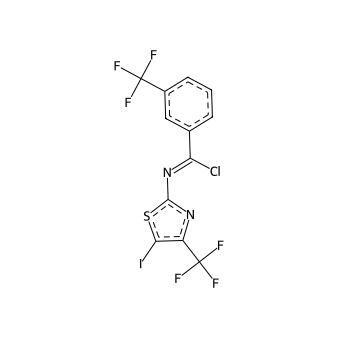 FC(F)(F)c1cccc(C(Cl)=Nc2nc(C(F)(F)F)c(I)s2)c1